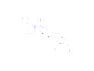 CCc1nc(C(=O)NC(C(=O)O)[C@@H]2C=CC=CC2)cc2ccc(Oc3ccc(C(C)(C)C)cc3)cc12